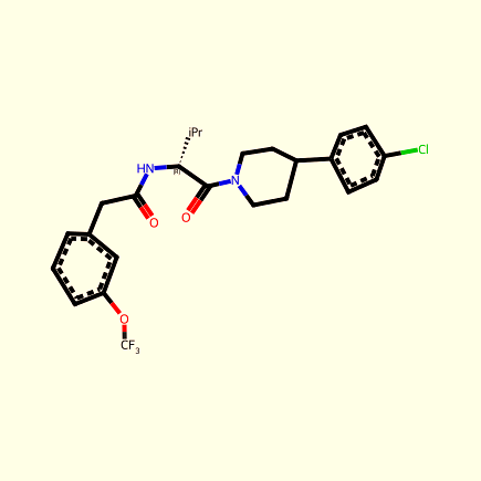 CC(C)[C@@H](NC(=O)Cc1cccc(OC(F)(F)F)c1)C(=O)N1CCC(c2ccc(Cl)cc2)CC1